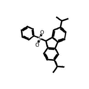 CC(C)c1ccc2c(c1)-c1ccc(C(C)C)cc1C2S(=O)(=O)c1ccccc1